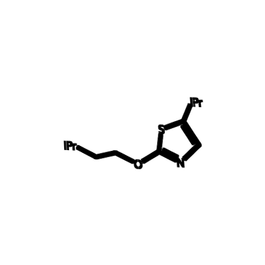 CC(C)CCOc1ncc(C(C)C)s1